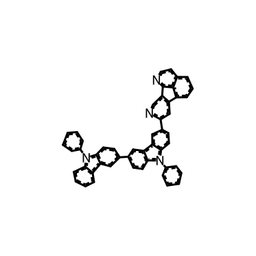 c1ccc(-n2c3ccccc3c3cc(-c4ccc5c(c4)c4cc(-c6cc7c(cn6)-c6nccc8cccc-7c68)ccc4n5-c4ccccc4)ccc32)cc1